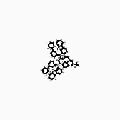 CC(C)(C)c1cc2ccc3c(N(c4cccc(-c5ccccc5)c4)c4cccc5c4oc4ccccc45)cc(N(c4cccc(-c5ccccc5)c4)c4cccc5c4oc4ccccc45)c4ccc(c1)c2c34